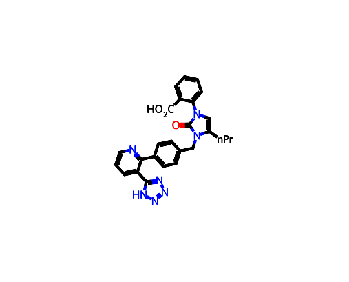 CCCc1cn(-c2ccccc2C(=O)O)c(=O)n1Cc1ccc(-c2ncccc2-c2nnn[nH]2)cc1